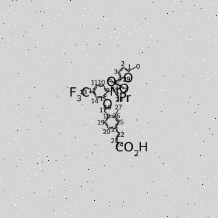 Cc1ccc(S(=O)(=O)N(c2ccc(C(F)(F)F)cc2OCc2ccc(C=CC(=O)O)cc2C)C(C)C)o1